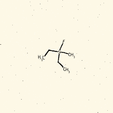 CC[Si](C)(F)CC